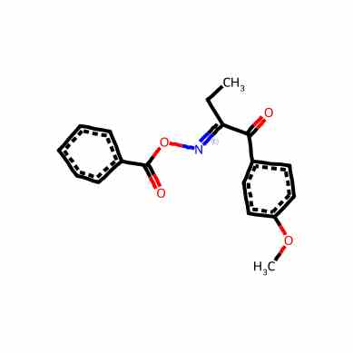 CC/C(=N\OC(=O)c1ccccc1)C(=O)c1ccc(OC)cc1